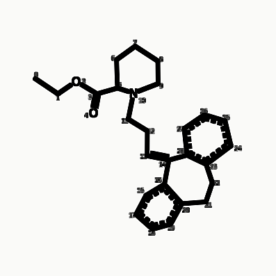 CCOC(=O)C1CCCCN1CCC=C1c2ccccc2CCc2ccccc21